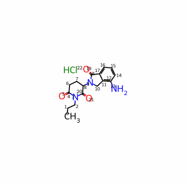 CCCN1C(=O)CCC(N2Cc3c(N)cccc3C2=O)C1=O.Cl